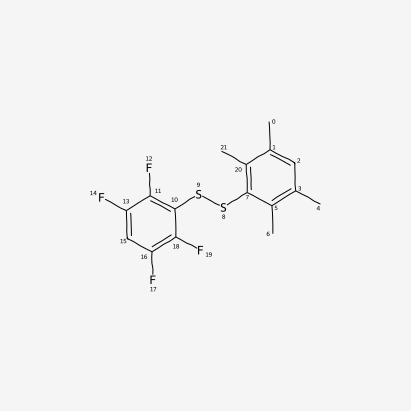 Cc1cc(C)c(C)c(SSc2c(F)c(F)cc(F)c2F)c1C